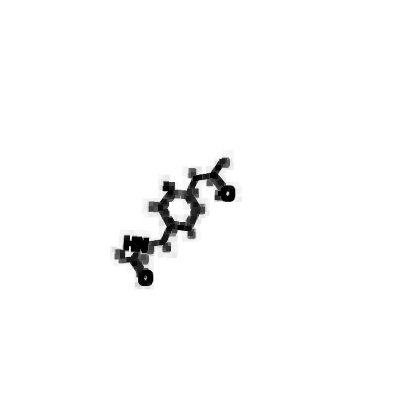 CC(=O)Cc1ccc(CNC(C)=O)cc1